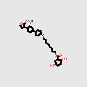 O=C(OCCCCCCCCOc1ccc(-c2ccc(-c3ccoc3C(=O)O)cc2)cc1)c1cc(O)ccc1O